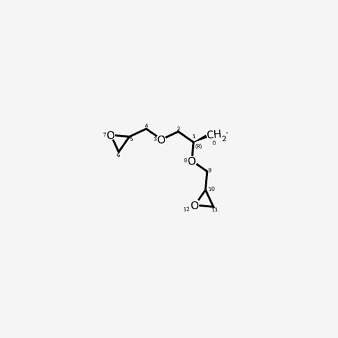 [CH2][C@H](COCC1CO1)OCC1CO1